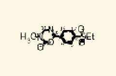 CCS(=O)(=O)c1ccc(C2=NCN(C)C(=O)O2)cc1